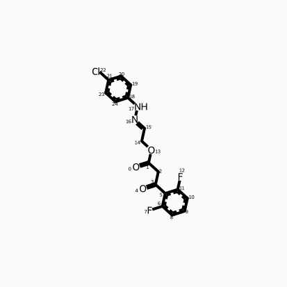 O=C(CC(=O)c1c(F)cccc1F)OCC=NNc1ccc(Cl)cc1